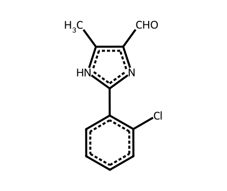 Cc1[nH]c(-c2ccccc2Cl)nc1C=O